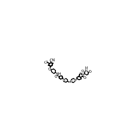 N#Cc1ccc(O[C@H]2CC[C@H](NC(=O)c3ccc(N4CCC(CN5CCN(c6ccc7c(=O)n(C8CCC(=O)NC8=O)ncc7c6)CC5)CC4)cc3)CC2)cc1Cl